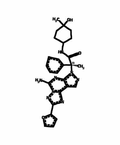 CC1(O)CCC(NC(=O)[C@](C)(c2ccccc2)n2ncc3c2nc(N)n2nc(-c4ccco4)nc32)CC1